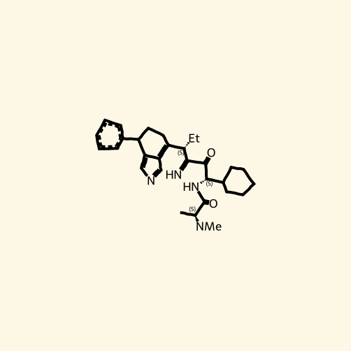 CC[C@H](C(=N)C(=O)[C@@H](NC(=O)[C@H](C)NC)C1CCCCC1)C1=C2C=NC=C2C(c2ccccc2)CC1